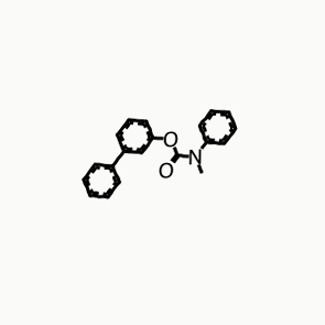 CN(C(=O)Oc1cccc(-c2ccccc2)c1)c1ccccc1